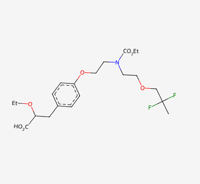 CCOC(=O)N(CCOCC(C)(F)F)CCOc1ccc(CC(OCC)C(=O)O)cc1